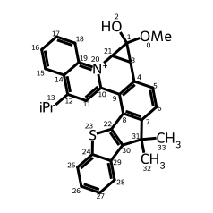 COC1(O)C2c3ccc4c(c3-c3cc(C(C)C)c5ccccc5[n+]3C21)-c1sc2ccccc2c1C4(C)C